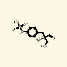 N[C@@](C=O)(CO)Cc1ccc(OS(=O)(=O)O)cc1